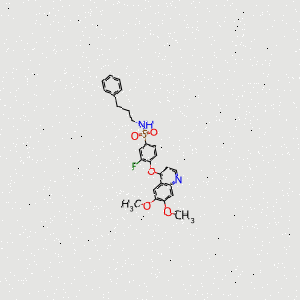 COc1cc2nccc(Oc3ccc(S(=O)(=O)NCCCc4ccccc4)cc3F)c2cc1OC